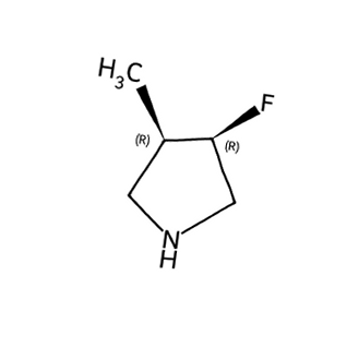 C[C@@H]1CNC[C@@H]1F